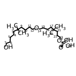 CC(C)(CCCCCO)CCCCOCCCCC(C)(C)CCCOP(=O)(O)O